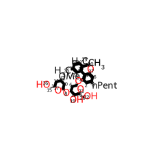 CCCCCc1cc(O[C@H]2C[C@@H](O[C@H]3C[C@@H](OC)C[C@@H](CO)O3)[C@H](O)[C@@H](CO)O2)c2c(c1)OC(C)(C)c1ccc(C)cc1-2